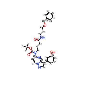 CC(C)(C)OC(=O)N(CCCC(=O)NCCCOCc1ccccc1)c1ccn2ncc(-c3cccc(O)c3)c2n1